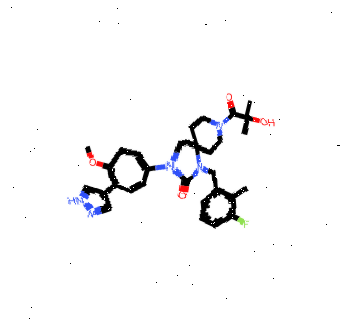 COC1=C(c2cn[nH]c2)C=CC(N2CC3(CCN(C(=O)C(C)(C)O)CC3)N(Cc3cccc(F)c3C)C2=O)=CC1